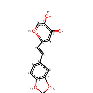 O=c1cc(/C=C/c2ccc3c(c2)OCO3)occ1O